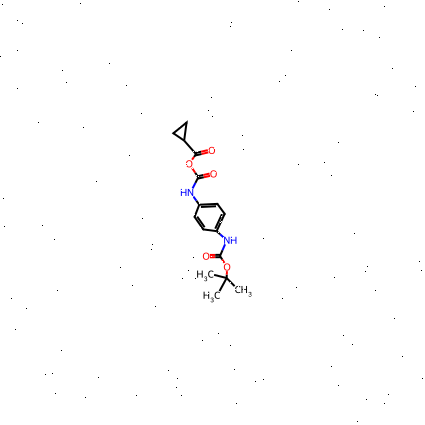 CC(C)(C)OC(=O)Nc1ccc(NC(=O)OC(=O)C2CC2)cc1